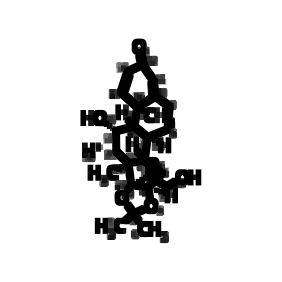 CC1(C)O[C@@H]2C[C@H]3[C@@H]4CCC5=CC(=O)C=C[C@]5(C)[C@H]4[C@@H](O)C[C@]3(C)[C@]2(C(=O)CO)O1.[H+]